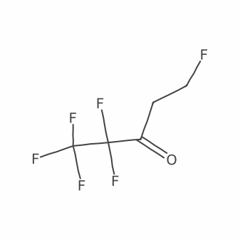 O=C(CCF)C(F)(F)C(F)(F)F